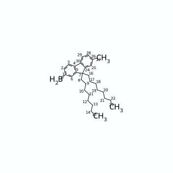 Bc1ccc2c(c1)C(CCCCCCCC)(CCCCCCCC)c1cc(C)ccc1-2